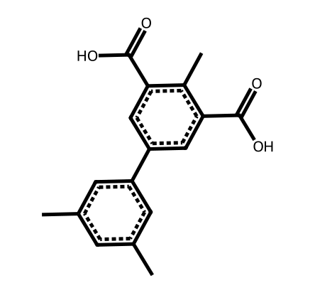 Cc1cc(C)cc(-c2cc(C(=O)O)c(C)c(C(=O)O)c2)c1